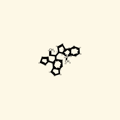 C=CC(c1ccc2c(c1C1=C=CC=C1)C=CC2)C1C=Cc2c1n(C)c1ccccc21